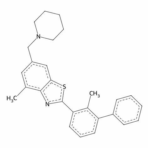 Cc1c(-c2ccccc2)cccc1-c1nc2c(C)cc(CN3CCCCC3)cc2s1